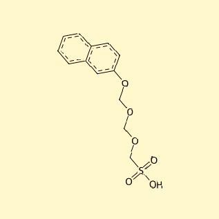 O=S(=O)(O)COCOCOc1ccc2ccccc2c1